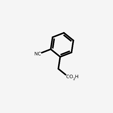 N#Cc1ccccc1CC(=O)O